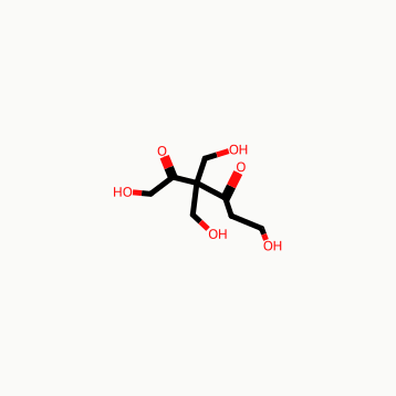 O=C(CO)C(CO)(CO)C(=O)CCO